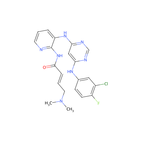 CN(C)CC=CC(=O)Nc1ncccc1Nc1cc(Nc2ccc(F)c(Cl)c2)ncn1